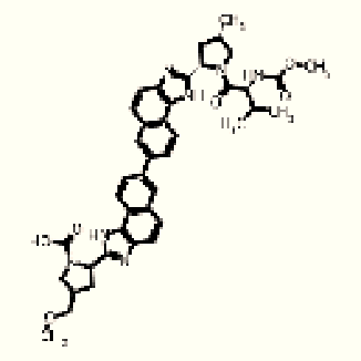 COCC1CC(c2nc3ccc4cc(-c5ccc6c(ccc7nc([C@@H]8C[C@H](C)CN8C(=O)[C@@H](NC(=O)OC)C(C)C)[nH]c76)c5)ccc4c3[nH]2)N(C(=O)O)C1